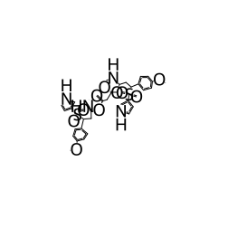 CNC(CC(c1ccc(OC)cc1)S(=O)(=O)c1cc[nH]c1)OC(=O)CC(=O)OC(CC(c1ccc(OC)cc1)S(=O)(=O)c1cc[nH]c1)NC